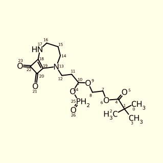 CC(C)(C)C(=O)OCCO[C](CCN1CCCNc2c1c(=O)c2=O)O[PH2]=O